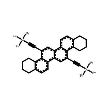 CC(C)[Si](C#Cc1cc2c3ccc4c(c3c(C#C[Si](C(C)C)(C(C)C)C(C)C)cc2c2ccc3c(c12)CCCC3)CCCC4)(C(C)C)C(C)C